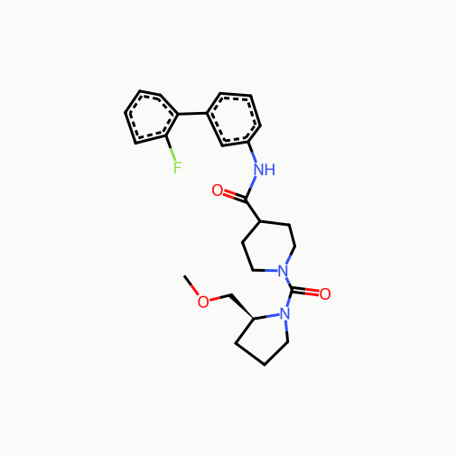 COC[C@@H]1CCCN1C(=O)N1CCC(C(=O)Nc2cccc(-c3ccccc3F)c2)CC1